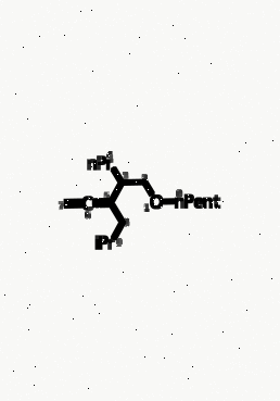 [CH2]CCCCOCC(CCC)C(=C=C)CC(C)C